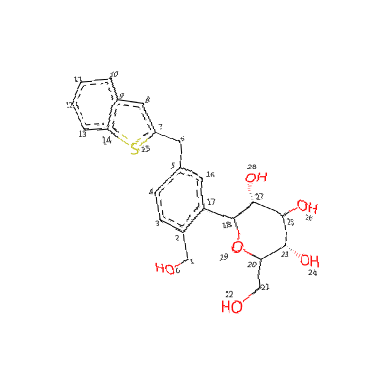 OCc1ccc(Cc2cc3ccccc3s2)cc1C1OC(CO)[C@@H](O)C(O)[C@H]1O